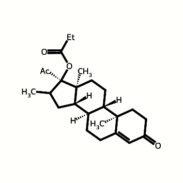 CCC(=O)O[C@]1(C(C)=O)C(C)C[C@H]2[C@@H]3CCC4=CC(=O)CC[C@]4(C)[C@H]3CC[C@@]21C